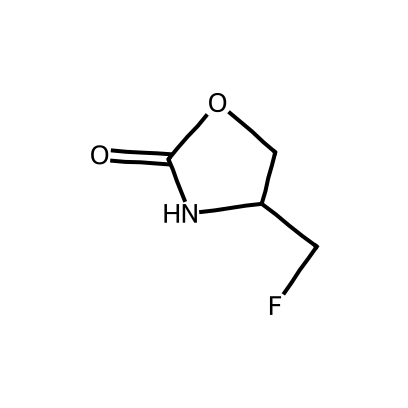 O=C1NC(CF)CO1